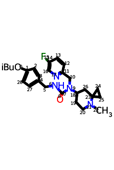 CC(C)COc1ccc(CNC(=O)N(Cc2ccc(F)cn2)C2CCN(C)C3(CC3)C2)cc1